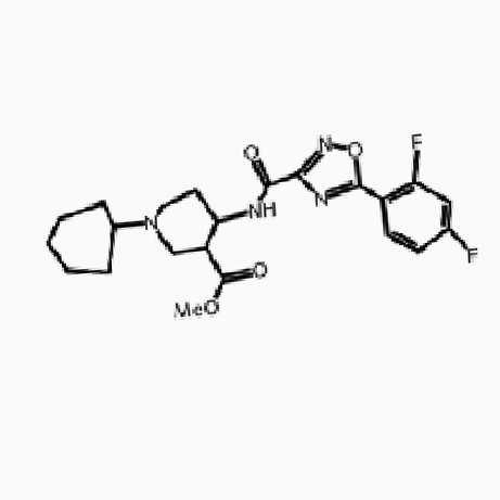 COC(=O)C1CN(C2CCCCC2)CCC1NC(=O)c1noc(-c2ccc(F)cc2F)n1